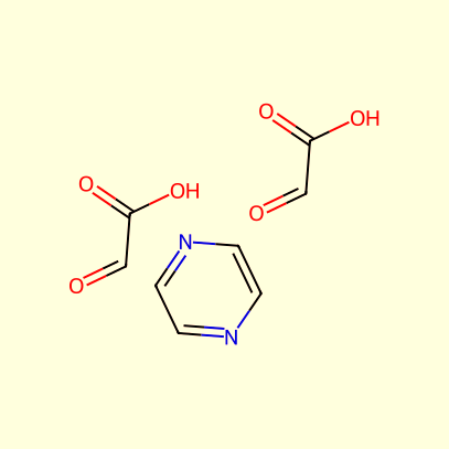 O=CC(=O)O.O=CC(=O)O.c1cnccn1